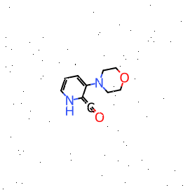 O=C=C1NC=CC=C1N1CCOCC1